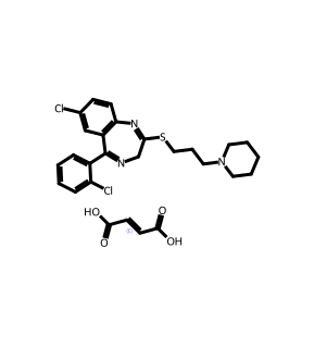 Clc1ccc2c(c1)C(c1ccccc1Cl)=NCC(SCCCN1CCCCC1)=N2.O=C(O)/C=C/C(=O)O